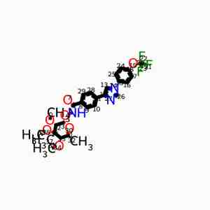 CO[C@H]1[C@H](ONC(=O)c2ccc(-c3cn(-c4ccc(OC(F)(F)F)cc4)cn3)cc2)O[C@@H](C)[C@H](OC)[C@@]1(C)OC